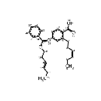 CC/C=C\CCc1ccccc1C(=O)O.CCC=CCCOC(=O)c1ccccc1